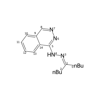 CCCCC(CCCC)=NNc1nncc2ccccc12